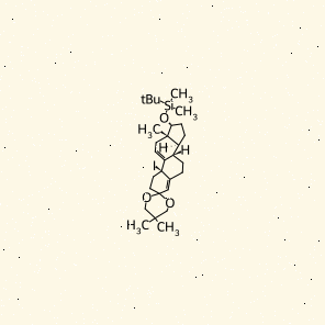 CC1(C)COC2(C=C3CC[C@@H]4C(=CC[C@]5(C)[C@@H](O[Si](C)(C)C(C)(C)C)CC[C@@H]45)[C@@]3(I)CC2)OC1